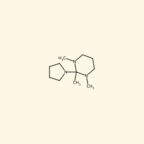 CN1CCCN(C)C1(C)N1CCCC1